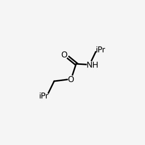 CC(C)COC(=O)NC(C)C